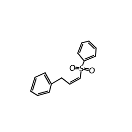 O=S(=O)(/C=C\Cc1ccccc1)c1ccccc1